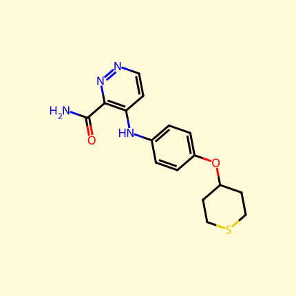 NC(=O)c1nnccc1Nc1ccc(OC2CCSCC2)cc1